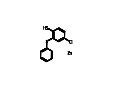 Sc1ccc(Cl)cc1Sc1ccccc1.[Zn]